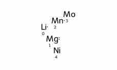 [Li].[Mg].[Mn].[Mo].[Ni]